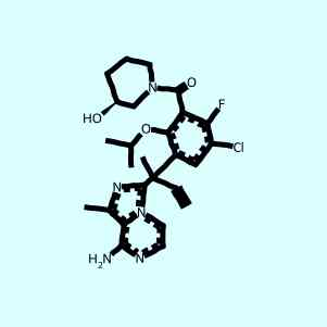 C#CC(C)(c1cc(Cl)c(F)c(C(=O)N2CCC[C@H](O)C2)c1OC(C)C)c1nc(C)c2c(N)nccn12